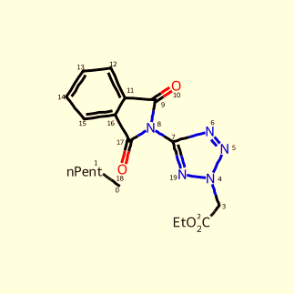 CCCCCC.CCOC(=O)Cn1nnc(N2C(=O)c3ccccc3C2=O)n1